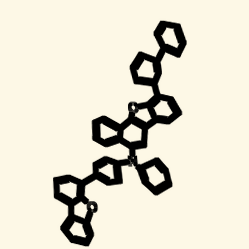 c1ccc(-c2cccc(-c3cccc4c3oc3c5ccccc5c(N(c5ccccc5)c5ccc(-c6cccc7c6oc6ccccc67)cc5)cc43)c2)cc1